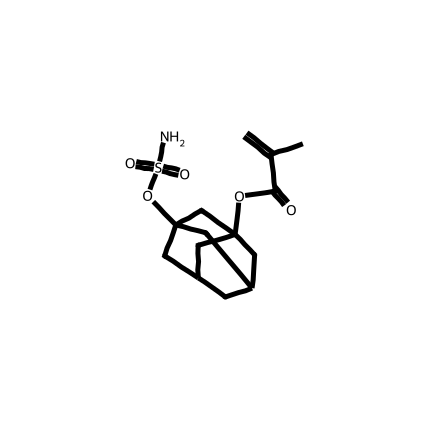 C=C(C)C(=O)OC12CC3CC(C1)CC(OS(N)(=O)=O)(C3)C2